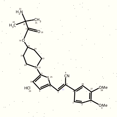 COc1ccc(/C(C#N)=C/c2ccc(N3CCC(OC(=O)C(C)(C)N)CC3)s2)cc1OC.Cl